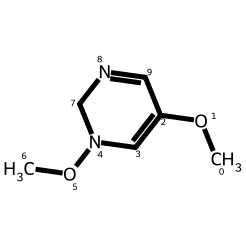 COC1=CN(OC)CN=C1